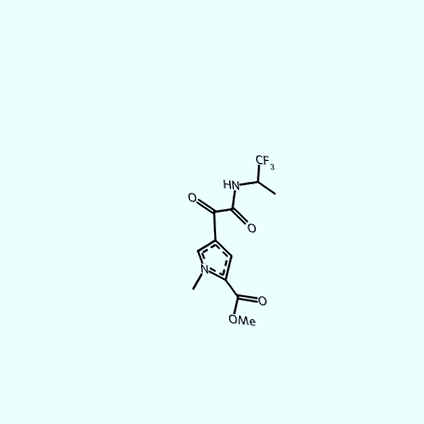 COC(=O)c1cc(C(=O)C(=O)NC(C)C(F)(F)F)cn1C